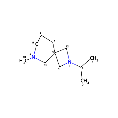 CC(C)N1CC2(CCCN(C)C2)C1